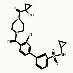 O=C(c1ccc(-c2cccc(S(=O)(=O)NC3CC3)c2)cc1Cl)N1CCN(C(=O)C2(O)CC2)CC1